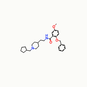 COc1ccc(OCc2ccccc2)c(C(=O)NCCC2CCN(CC3CCCC3)CC2)c1